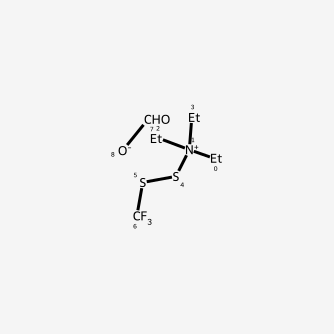 CC[N+](CC)(CC)SSC(F)(F)F.O=C[O-]